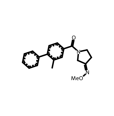 CON=C1CCN(C(=O)c2ccc(-c3ccccc3)c(C)c2)C1